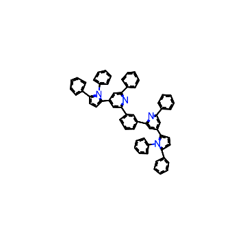 c1ccc(-c2cc(-c3ccc(-c4ccccc4)n3-c3ccccc3)cc(-c3cccc(-c4cc(-c5ccc(-c6ccccc6)n5-c5ccccc5)cc(-c5ccccc5)n4)c3)n2)cc1